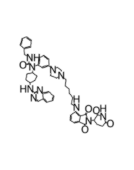 O=C1CCC(N2C(=O)c3cccc(NCCCCCCN4CCN(c5cccc(N(C(=O)NCc6ccccc6)C6CCC(Nc7ncc8ccccc8n7)CC6)c5)CC4)c3C2=O)C(=O)N1